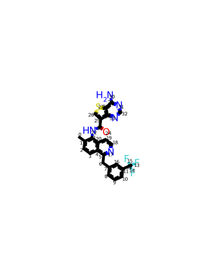 Cc1ccc2c(Cc3cccc(C(F)(F)F)c3)nccc2c1NC(=O)c1csc2c(N)ncnc12